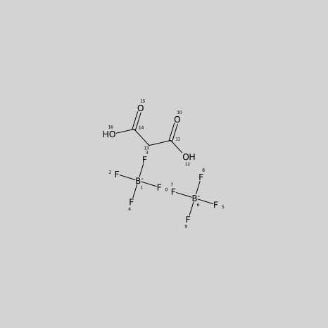 F[B-](F)(F)F.F[B-](F)(F)F.O=C(O)CC(=O)O